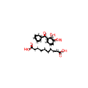 O=C(O)CCCCCCCCC(=O)O.O=C(c1ccccc1)c1cccc(O)c1O